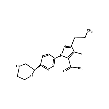 CCCc1nn(-c2ccc([C@@H]3CNCCO3)nc2)c(C(N)=O)c1F